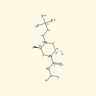 CC(C)OC(=O)N1C[C@@H](C)N(CCC(F)(F)F)C[C@@H]1C